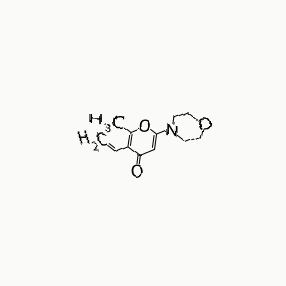 C=Cc1c(C)oc(N2CCOCC2)cc1=O